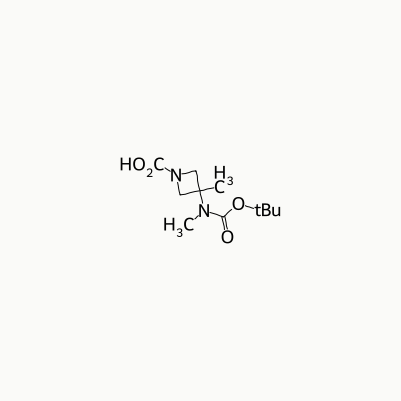 CN(C(=O)OC(C)(C)C)C1(C)CN(C(=O)O)C1